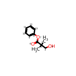 CC(C)(CO)C(=O)Oc1ccccc1